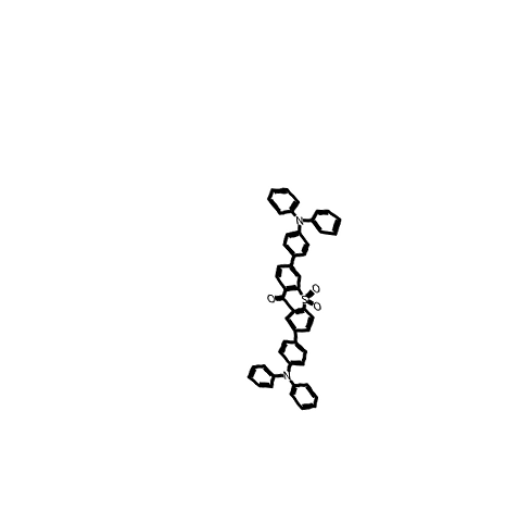 O=C1c2cc(-c3ccc(N(c4ccccc4)c4ccccc4)cc3)ccc2S(=O)(=O)c2cc(-c3ccc(N(c4ccccc4)c4ccccc4)cc3)ccc21